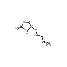 C=CCOCC1C[N]C(=O)O1